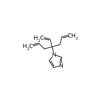 C=CCC(C=C)(CC=C)n1ccnc1